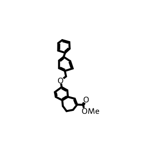 COC(=O)C1=Cc2cc(OCc3ccc(-c4ccccc4)cc3)ccc2CCC1